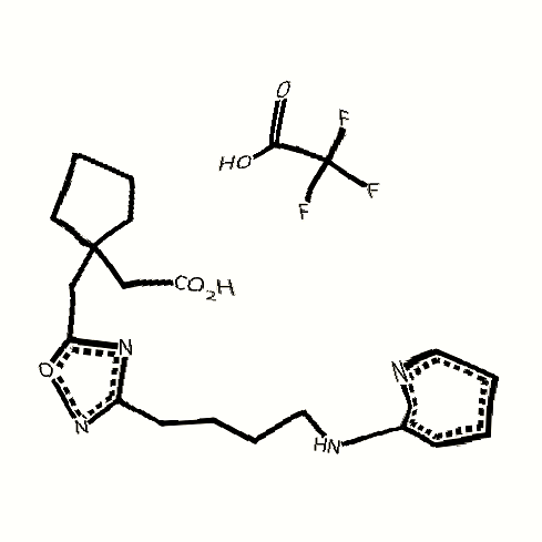 O=C(O)C(F)(F)F.O=C(O)CC1(Cc2nc(CCCCNc3ccccn3)no2)CCCC1